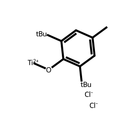 Cc1cc(C(C)(C)C)c([O][Ti+2])c(C(C)(C)C)c1.[Cl-].[Cl-]